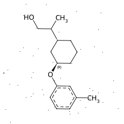 Cc1cccc(O[C@@H]2CCCC(C(C)CO)C2)c1